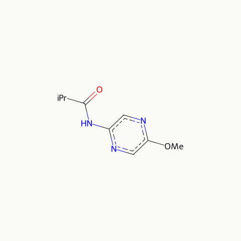 COc1cnc(NC(=O)C(C)C)cn1